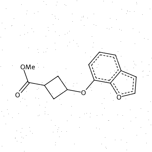 COC(=O)C1CC(Oc2cccc3ccoc23)C1